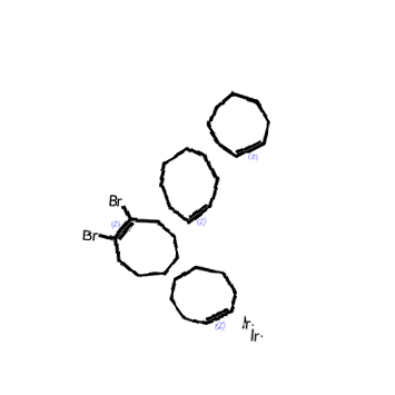 Br/C1=C(\Br)CCCCCC1.C1=C\CCCCCC/1.C1=C\CCCCCC/1.C1=C\CCCCCC/1.[Ir].[Ir]